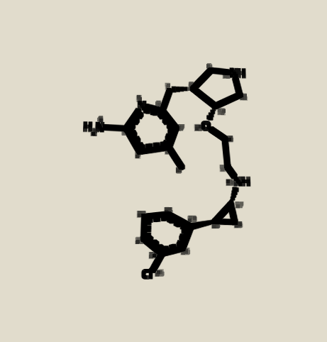 Cc1cc(N)nc(C[C@@H]2CNC[C@@H]2OCCN[C@@H]2C[C@H]2c2cccc(Cl)c2)c1